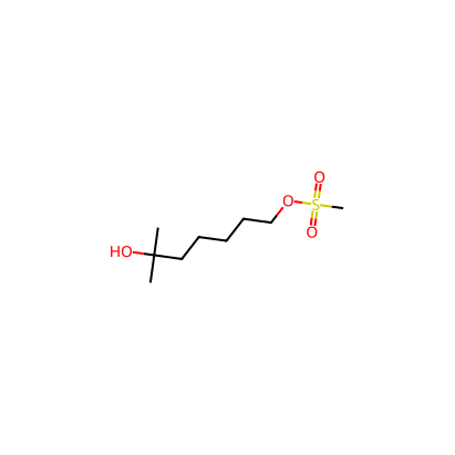 CC(C)(O)CCCCCOS(C)(=O)=O